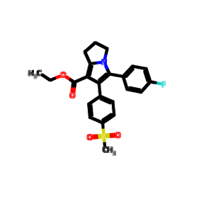 CCOC(=O)c1c(-c2ccc(S(C)(=O)=O)cc2)c(-c2ccc(F)cc2)n2c1CCC2